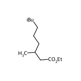 CCOC(=O)CC(C)CCCC(C)CC